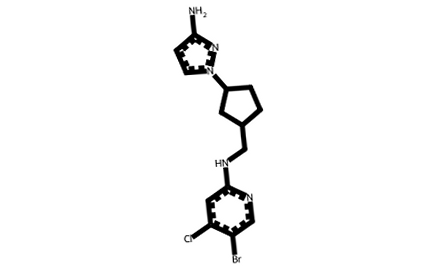 Nc1ccn(C2CCC(CNc3cc(Cl)c(Br)cn3)C2)n1